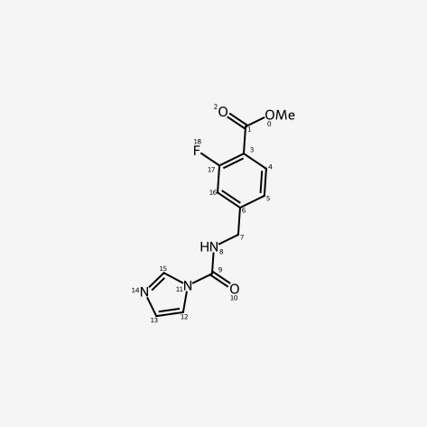 COC(=O)c1ccc(CNC(=O)n2ccnc2)cc1F